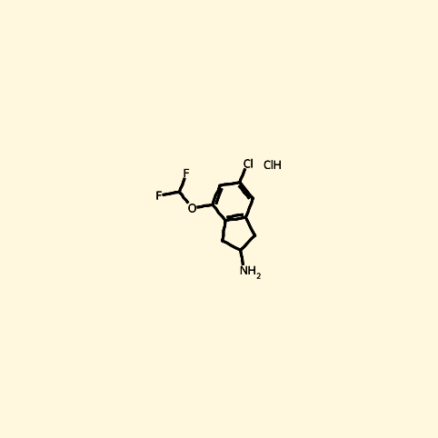 Cl.NC1Cc2cc(Cl)cc(OC(F)F)c2C1